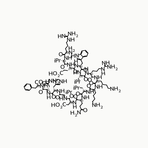 CC(C)C[C@H](NC(=O)[C@H](CCCCN)NC(=O)[C@H](CCCCN)NC(=O)[C@H](CCCNC(=N)N)NC(=O)[C@H](CC(C)C)NC(=O)[C@H](Cc1c[nH]c2ccccc12)NC(=O)[C@H](CCC(=O)O)NC(=O)[C@@H](NC(=O)[C@@H](N)CCCNC(=N)N)C(C)C)C(=O)N[C@@H](CCC(N)=O)C(=O)N[C@@H](CC(=O)O)C(=O)N[C@H](C(=O)N[C@@H](Cc1c[nH]cn1)C(=O)N[C@@H](CC(N)=O)C(=O)N[C@@H](Cc1ccccc1)C(=O)O)C(C)C